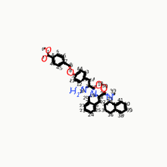 COC(=O)c1ccc(COc2ccc(CC(N)C(=O)N3Cc4ccccc4CC3C(=O)N(C)[C@@H]3CCCc4ccccc43)cc2)cc1